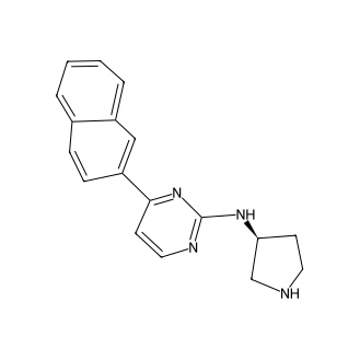 c1ccc2cc(-c3ccnc(N[C@H]4CCNC4)n3)ccc2c1